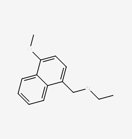 CC[N]Cc1ccc(OC)c2ccccc12